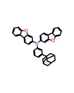 c1cc(N(c2ccc3c(c2)oc2ccccc23)c2ccc3c(c2)oc2ccccc23)cc(C23CC4CC(CC(C4)C2)C3)c1